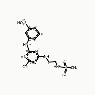 CS(=O)(=O)NCCNc1nc(Cl)nc(Nc2cccc(S(=O)(=O)O)c2)n1